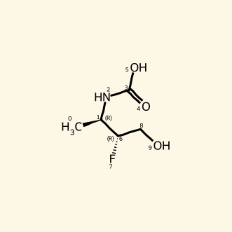 C[C@@H](NC(=O)O)[C@@H](F)CO